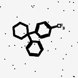 FC(F)(F)c1ccc(C2(c3ccccc3)CCCCC2)cc1